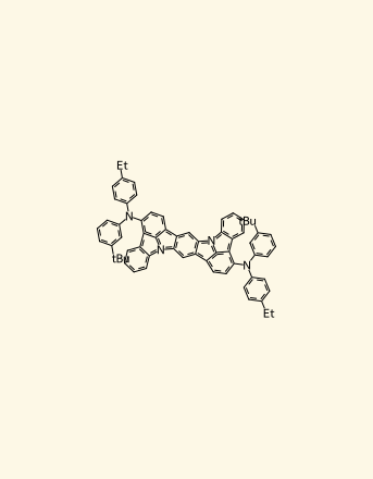 CCc1ccc(N(c2cccc(C(C)(C)C)c2)c2ccc3c4cc5c(cc4n4c6ccccc6c2c34)c2ccc(N(c3ccc(CC)cc3)c3cccc(C(C)(C)C)c3)c3c4ccccc4n5c23)cc1